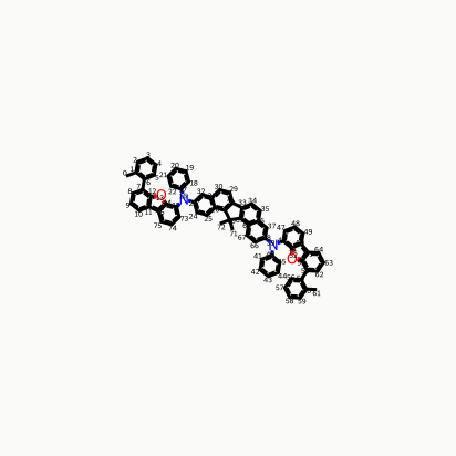 Cc1ccccc1-c1cccc2c1oc1c(N(c3ccccc3)c3ccc4c5c(ccc4c3)-c3ccc4cc(N(c6ccccc6)c6cccc7c6oc6c(-c8ccccc8C)cccc67)ccc4c3C5(C)C)cccc12